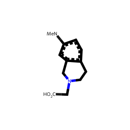 CNc1ccc2c(c1)CN(CC(=O)O)CC2